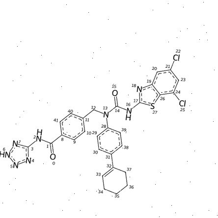 O=C(Nc1nn[nH]n1)c1ccc(CN(C(=O)Nc2nc3cc(Cl)cc(Cl)c3s2)c2ccc(C3=CCCCC3)cc2)cc1